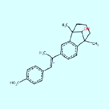 C/C(=C\c1ccc(C(=O)O)cc1)c1ccc2c(c1)C1(C)CCCC2(C)C1O